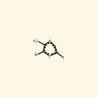 Cc1ncc(Br)nc1Br